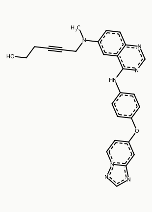 CN(CC#CCCO)c1ccc2ncnc(Nc3ccc(Oc4ccn5ncnc5c4)cc3)c2c1